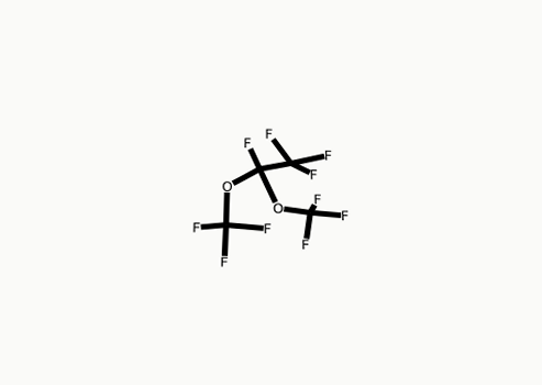 FC(F)(F)OC(F)(OC(F)(F)F)C(F)(F)F